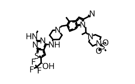 CNc1nc(NC2CCN(Cc3ccc4c(cc(C#N)n4CC(C)N4CCN(S(C)(=O)=O)CC4)c3C)CC2)c2cc([C@H](O)C(F)(F)F)sc2n1